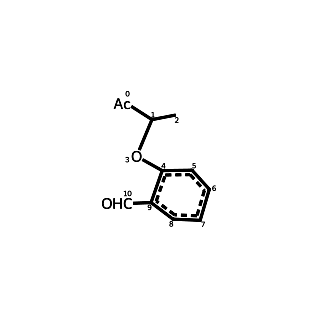 CC(=O)C(C)Oc1ccccc1C=O